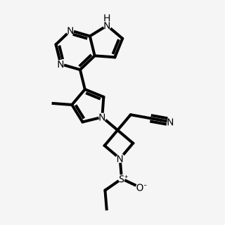 CC[S+]([O-])N1CC(CC#N)(n2cc(C)c(-c3ncnc4[nH]ccc34)c2)C1